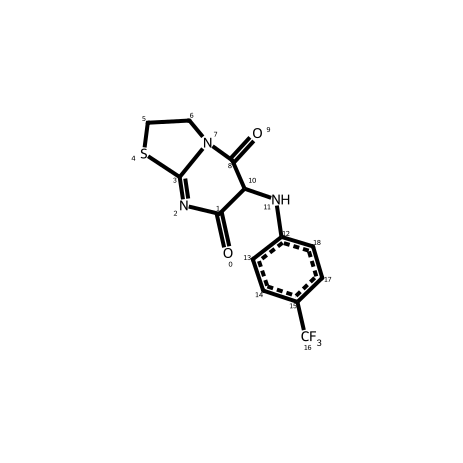 O=C1N=C2SCCN2C(=O)C1Nc1ccc(C(F)(F)F)cc1